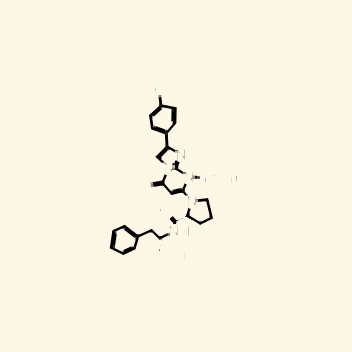 CCCCCn1c(N2CCC[C@H]2C(=O)N[C@@H](Cc2ccccc2)C(=O)O)cc(=O)n2cc(-c3ccc(Cl)cc3)nc12